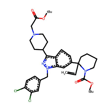 C=CC1(c2ccc3c(C4CCN(CC(=O)OC(C)(C)C)CC4)nn(Cc4ccc(Cl)c(Cl)c4)c3c2)CCCCN1C(=O)OC(C)(C)C